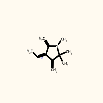 C=C1/C(=C\C)C(=C)C(C)(C)N1C